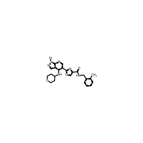 CCn1ncc2c(NC3CCOCC3)c(-c3nc(C(=O)NCc4ccccc4C)co3)cnc21